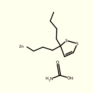 CCCCC1(CCCC)C=CSS1.NC(=O)O.[Zn]